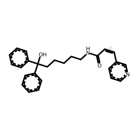 O=C(/C=C\c1cccnc1)NCCCCCC(O)(c1ccccc1)c1ccccc1